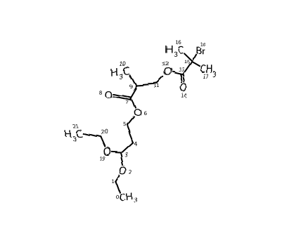 CCOC(CCOC(=O)C(C)COC(=O)C(C)(C)Br)OCC